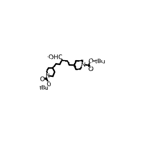 CC(C)(C)OC(=O)N1CCC(CCC([C]=O)CCC2CCN(C(=O)OC(C)(C)C)CC2)CC1